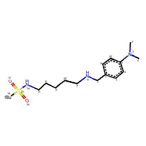 CN(C)c1ccc(CNCCCCCNS(=O)(=O)C(C)(C)C)cc1